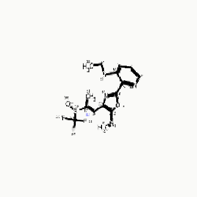 C=Nc1oc(-c2ncccc2SCC)nc1/C=C(\C)[S+]([O-])C(F)(F)F